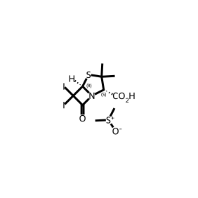 CC1(C)S[C@H]2N(C(=O)C2(I)I)[C@H]1C(=O)O.C[S+](C)[O-]